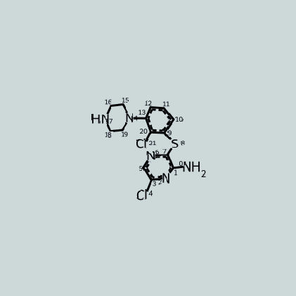 Nc1nc(Cl)cnc1Sc1cccc(N2CCNCC2)c1Cl